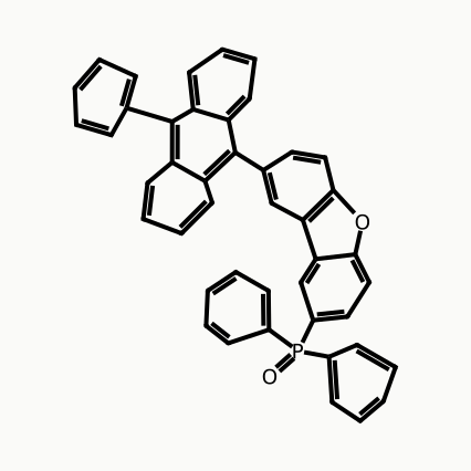 O=P(c1ccccc1)(c1ccccc1)c1ccc2oc3ccc(-c4c5ccccc5c(-c5ccccc5)c5ccccc45)cc3c2c1